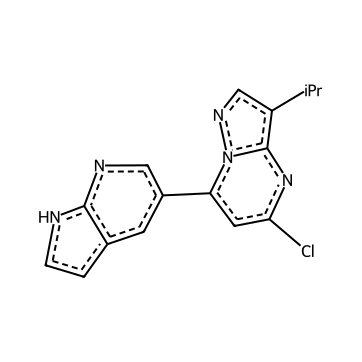 CC(C)c1cnn2c(-c3cnc4[nH]ccc4c3)cc(Cl)nc12